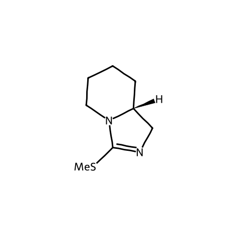 CSC1=NC[C@H]2CCCCN12